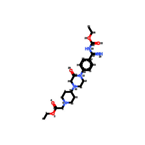 CCOC(=O)CN1CCC(N2CCN(c3ccc(C(=N)NC(=O)OCC)cc3)C(=O)C2)CC1